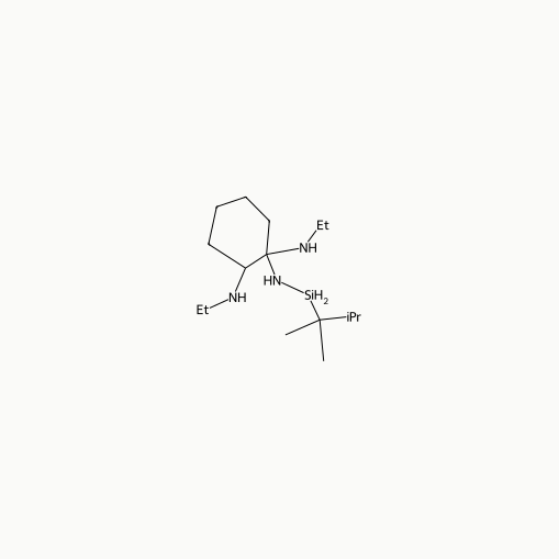 CCNC1CCCCC1(NCC)N[SiH2]C(C)(C)C(C)C